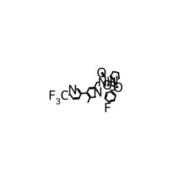 Cc1cnc(CNC(=O)[C@@H]2CCCN2S(=O)(=O)c2ccc(F)cc2)cc1-c1ccc(C(F)(F)F)nc1